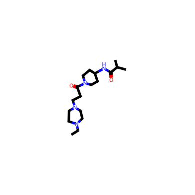 CCN1CCN(CCC(=O)N2CCC(NC(=O)C(C)C)CC2)CC1